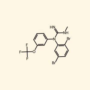 CNC(=N)N(c1cccc(OC(F)(F)F)c1)c1cc(Br)ccc1Br